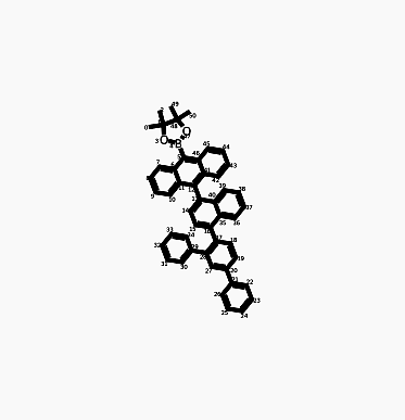 CC1(C)OB(c2c3ccccc3c(-c3ccc(-c4ccc(-c5ccccc5)cc4-c4ccccc4)c4ccccc34)c3ccccc23)OC1(C)C